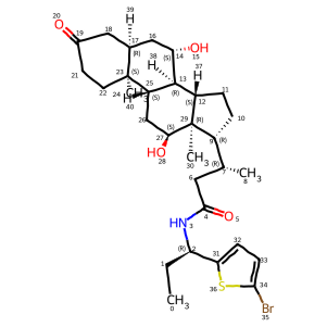 CC[C@@H](NC(=O)C[C@@H](C)[C@H]1CC[C@H]2[C@@H]3[C@@H](O)C[C@@H]4CC(=O)CC[C@]4(C)[C@H]3C[C@H](O)[C@]12C)c1ccc(Br)s1